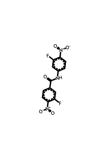 O=C(Nc1ccc([N+](=O)[O-])c(F)c1)c1ccc([N+](=O)[O-])c(F)c1